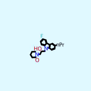 CCCc1ccc2c(c1)c1cc(F)ccc1n2CC(O)CN1CCCCC1=O